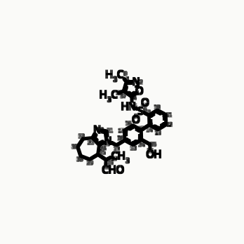 Cc1noc(NS(=O)(=O)c2ccccc2-c2ccc(Cn3cnc4c3C(C(C)C=O)CCCC4)cc2CO)c1C